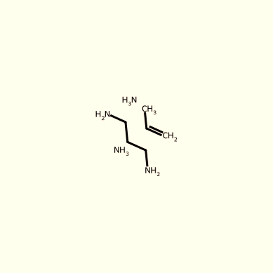 C=CC.N.N.NCCCN